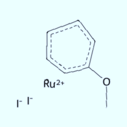 COc1ccccc1.[I-].[I-].[Ru+2]